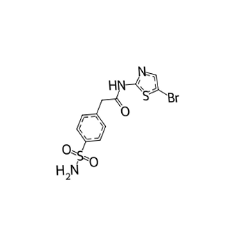 NS(=O)(=O)c1ccc(CC(=O)Nc2ncc(Br)s2)cc1